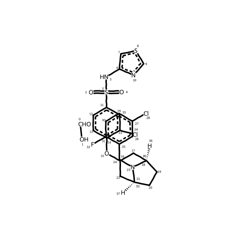 O=CO.O=S(=O)(Nc1cscn1)c1ccc(OC2C[C@H]3CC[C@@H](C2)N3Cc2cc(Cl)ccc2F)c(Cl)c1